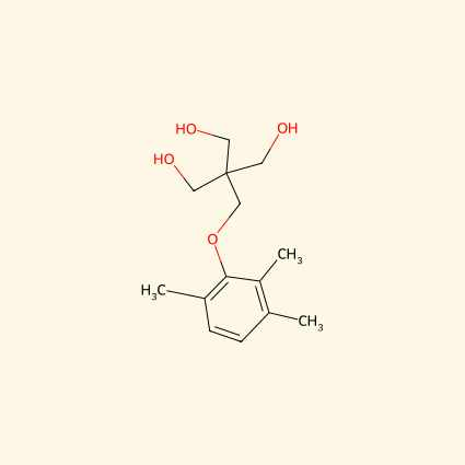 Cc1ccc(C)c(OCC(CO)(CO)CO)c1C